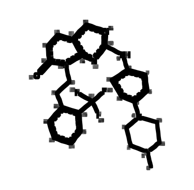 CN1CCN(c2ccc(Nc3ncc4ccc(=O)n(CCc5ccccc5C(F)(F)F)c4n3)cc2)CC1